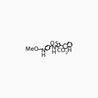 COCCNc1ccc(C(=O)Nc2scc(C3CCc4ccccc4C3)c2C(=O)O)cc1